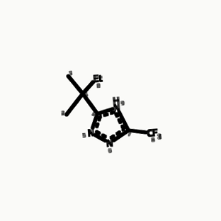 CCC(C)(C)c1nnc(C(F)(F)F)[nH]1